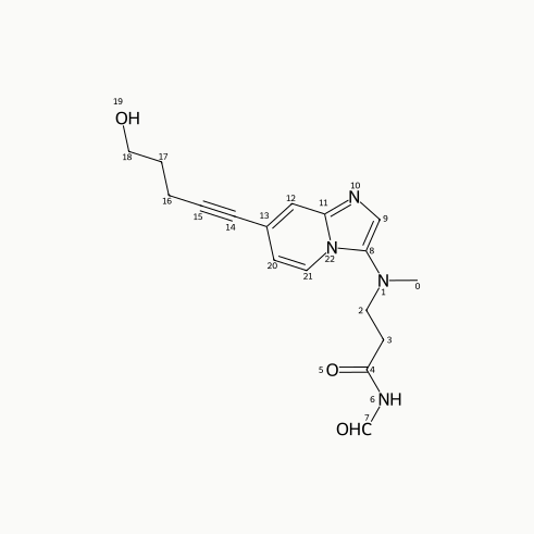 CN(CCC(=O)NC=O)c1cnc2cc(C#CCCCO)ccn12